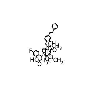 CC(C)C[C@@H](C(=O)NC(CC(=O)O)c1ccc(F)cc1)N1C(=O)N(Cc2ccc(C=Cc3ccccc3)cc2)C(C)(C)C1=O